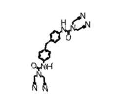 N#CCN(CC#N)C(=O)Nc1ccc(Cc2ccc(NC(=O)N(CC#N)CC#N)cc2)cc1